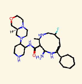 CC1NCC(F)C/C=C(/C2CCCCCC2)NC(N)C1C(=O)NC1CNCCC1N1CCN2CCOC[C@@H]2C1